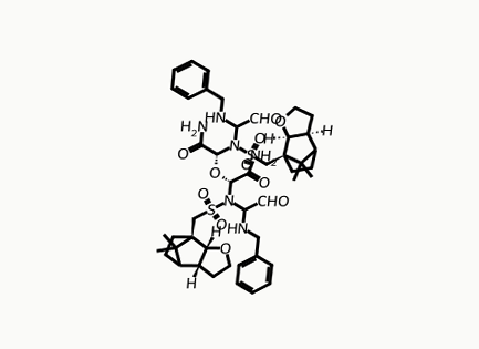 CC1(C)C2CC[C@]1(CS(=O)(=O)N(C(C=O)NCc1ccccc1)[C@H](O[C@H](C(N)=O)N(C(C=O)NCc1ccccc1)S(=O)(=O)C[C@@]13CCC([C@@H]4CCO[C@@H]41)C3(C)C)C(N)=O)[C@@H]1OCC[C@H]21